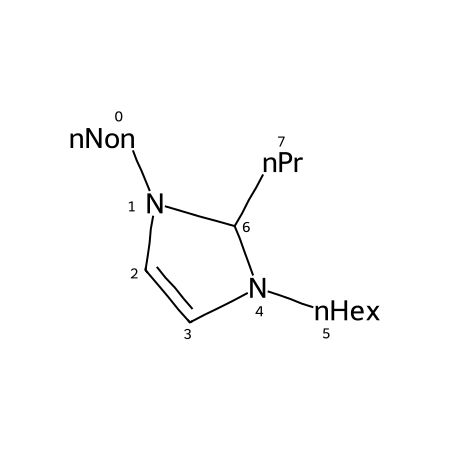 CCCCCCCCCN1C=CN(CCCCCC)C1CCC